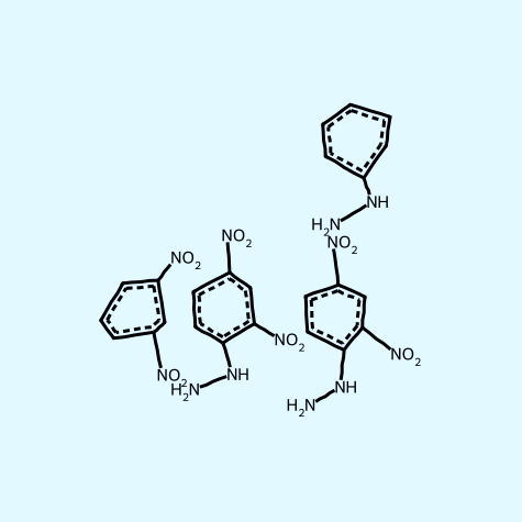 NNc1ccc([N+](=O)[O-])cc1[N+](=O)[O-].NNc1ccc([N+](=O)[O-])cc1[N+](=O)[O-].NNc1ccccc1.O=[N+]([O-])c1cccc([N+](=O)[O-])c1